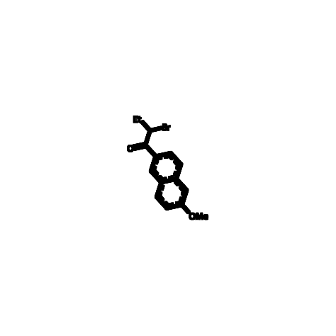 CCC(Br)C(=O)c1ccc2cc(OC)ccc2c1